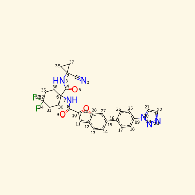 N#CC1(NC(=O)C2(NC(=O)c3cc4ccc(-c5ccc(-n6ccnn6)cc5)cc4o3)CCC(F)(F)CC2)CC1